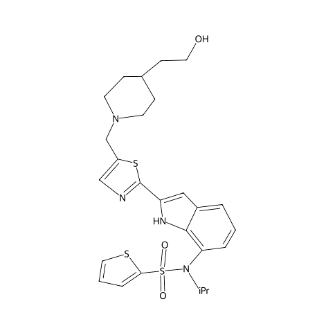 CC(C)N(c1cccc2cc(-c3ncc(CN4CCC(CCO)CC4)s3)[nH]c12)S(=O)(=O)c1cccs1